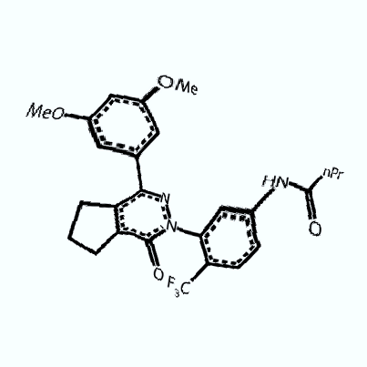 CCCC(=O)Nc1ccc(C(F)(F)F)c(-n2nc(-c3cc(OC)cc(OC)c3)c3c(c2=O)CCC3)c1